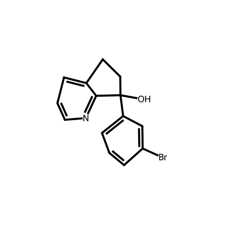 OC1(c2cccc(Br)c2)CCc2cccnc21